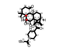 C=C1C(=O)[C@]23[C@H](OC(=O)C4CCN(C(=O)C(C)(C)C)CC4)[C@H]1CC[C@H]2[C@@]12CO[C@]3(O)[C@@H](O)[C@@H]1C(C)(C)CCC2=O